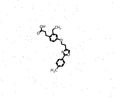 CCc1cc(OCCc2coc(-c3ccc(C)cc3)n2)ccc1CCC(=O)O